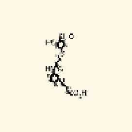 O=Cc1ccc(OCCCC(=O)Nc2cccc(OCCCC(=O)O)c2)cc1O